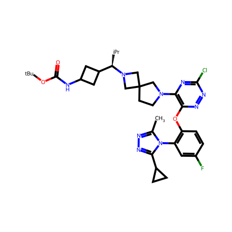 Cc1nnc(C2CC2)n1-c1cc(F)ccc1Oc1nnc(Cl)nc1N1CCC2(C1)CN([C@H](C(C)C)C1CC(NC(=O)OC(C)(C)C)C1)C2